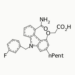 CCCCCc1cc(OCC(=O)O)c2c3c(C(N)=O)cccc3n(Cc3cccc(F)c3)c2c1